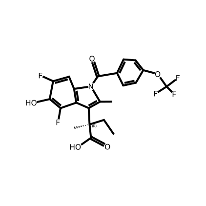 CC[C@@](C)(C(=O)O)c1c(C)n(C(=O)c2ccc(OC(F)(F)F)cc2)c2cc(F)c(O)c(F)c12